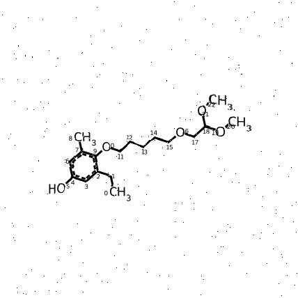 CCc1cc(O)cc(C)c1OCCCCCOCC(OC)OC